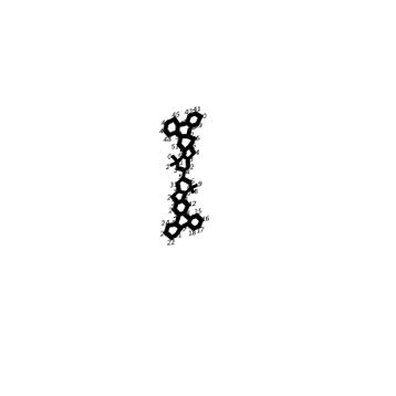 CC1(C)C=C(C2=CC(C)(C)C3=c4cc5c6ccccc6c6ccccc6c5cc4=CC3=C2)C=C2C=c3cc4c5ccccc5c5ccccc5c4cc3=C21